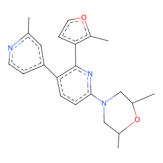 Cc1cc(-c2ccc(N3CC(C)OC(C)C3)nc2-c2ccoc2C)ccn1